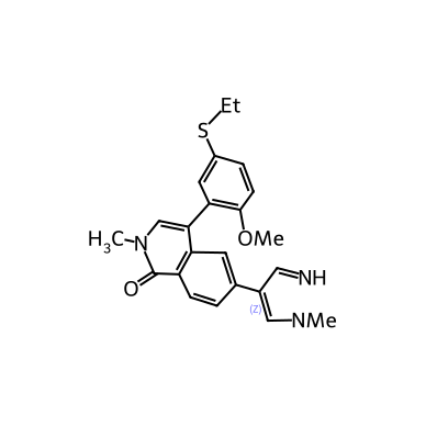 CCSc1ccc(OC)c(-c2cn(C)c(=O)c3ccc(/C(C=N)=C/NC)cc23)c1